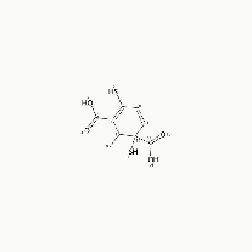 CC1C(C(=O)O)=C(S)C=CC1(S)C(=O)O